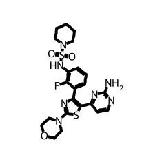 Nc1nccc(-c2sc(N3CCOCC3)nc2-c2cccc(NS(=O)(=O)N3CCCCC3)c2F)n1